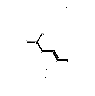 CC=CCC(C)C